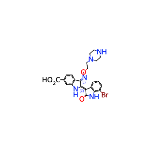 O=C1Nc2c(Br)cccc2/C1=C1/Nc2cc(C(=O)O)ccc2/C1=N\OCCN1CCNCC1